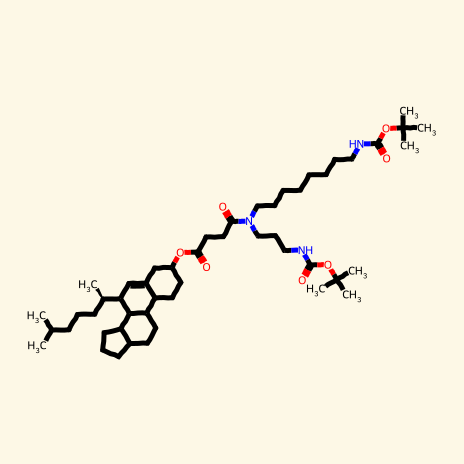 CC(C)CCC[C@@H](C)C1C=C2CC(OC(=O)CCC(=O)N(CCCCCCCCNC(=O)OC(C)(C)C)CCCNC(=O)OC(C)(C)C)CCC2C2CCC3CCCC3C21